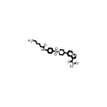 CCN(CC)C(=O)c1cnn2ccc(C3CCN(S(=O)(=O)c4ccc(NC(=O)CCCCN)cc4)CC3)cc12